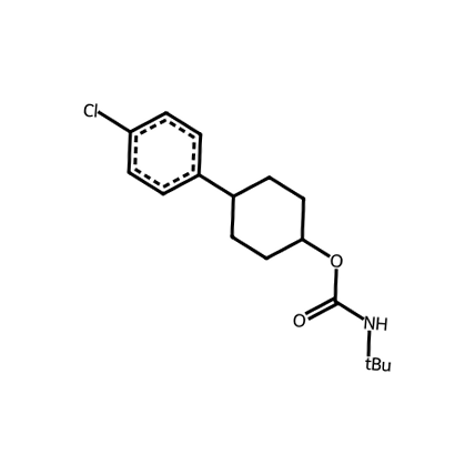 CC(C)(C)NC(=O)OC1CCC(c2ccc(Cl)cc2)CC1